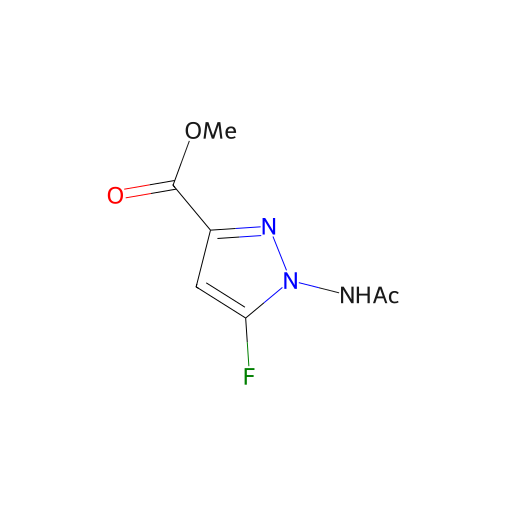 COC(=O)c1cc(F)n(NC(C)=O)n1